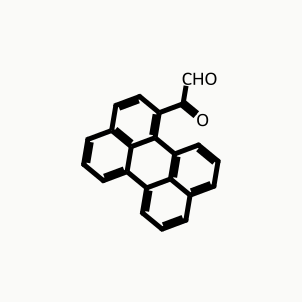 O=CC(=O)c1ccc2cccc3c4cccc5cccc(c1c23)c54